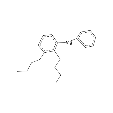 CCCCc1ccc[c]([Mg][c]2ccccc2)c1CCCC